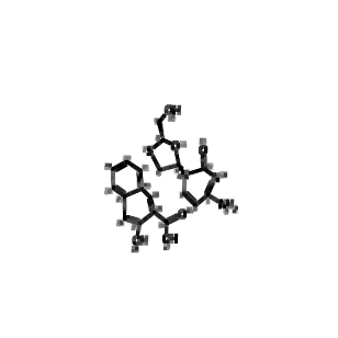 Nc1ccn([C@H]2CS[C@@H](CO)O2)c(=O)n1.O=C(O)c1cc2ccccc2cc1O